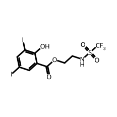 O=C(OCCNS(=O)(=O)C(F)(F)F)c1cc(I)cc(I)c1O